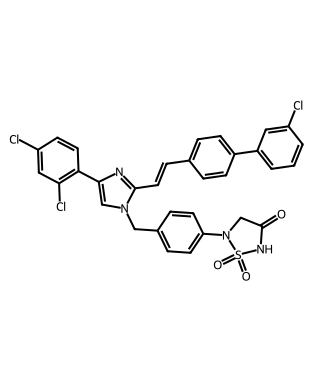 O=C1CN(c2ccc(Cn3cc(-c4ccc(Cl)cc4Cl)nc3C=Cc3ccc(-c4cccc(Cl)c4)cc3)cc2)S(=O)(=O)N1